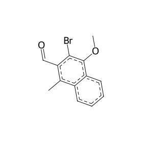 COc1c(Br)c(C=O)c(C)c2ccccc12